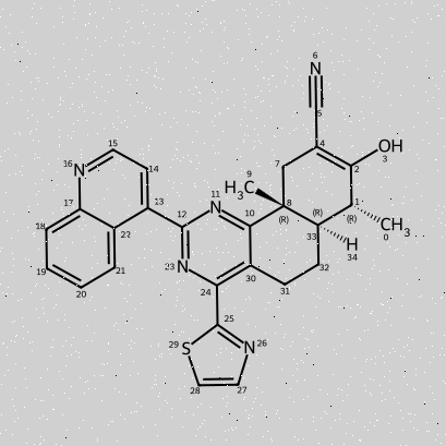 C[C@H]1C(O)=C(C#N)C[C@@]2(C)c3nc(-c4ccnc5ccccc45)nc(-c4nccs4)c3CC[C@H]12